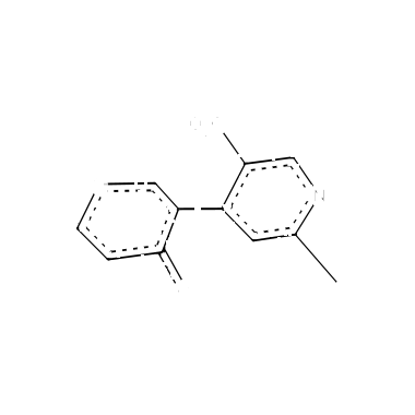 Cc1cc(-c2coccc2=O)c(C(=O)O)cn1